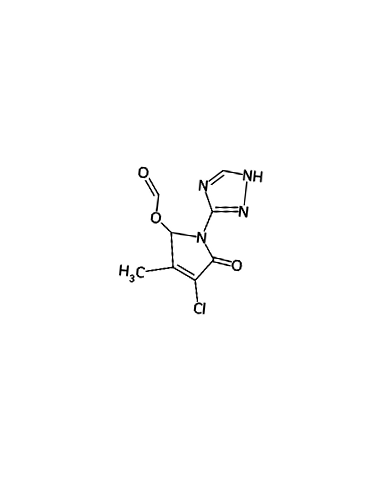 CC1=C(Cl)C(=O)N(c2nc[nH]n2)C1OC=O